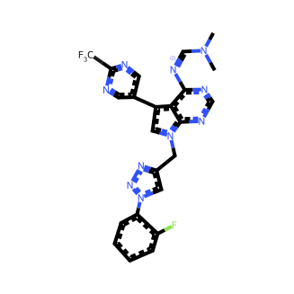 CN(C)/C=N\c1ncnc2c1c(-c1cnc(C(F)(F)F)nc1)cn2Cc1cn(-c2ccccc2F)nn1